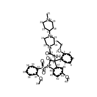 CCOc1ccccc1C1(NC(=O)N2CCN(C3CCN(C)CC3)CC2)C(=O)N(S(=O)(=O)c2ccccc2OC)c2ccc(OC)cc21